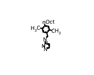 CCCCCCCCc1cc(C)c(/C=N/n2ccnn2)cc1C